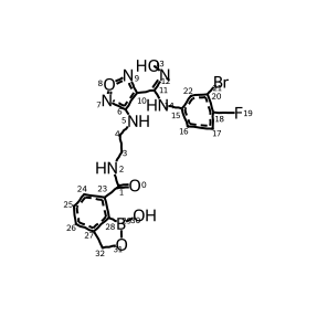 O=C(NCCNc1nonc1/C(=N\O)Nc1ccc(F)c(Br)c1)c1cccc2c1B(O)OC2